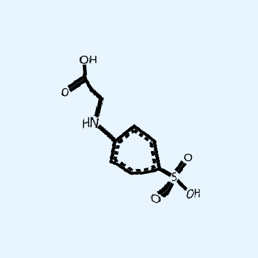 O=C(O)CNc1ccc(S(=O)(=O)O)cc1